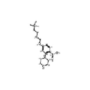 C[Si](C)(C)CCOCOc1ccc([N+](=O)[O-])c(N2CCOCC2)c1